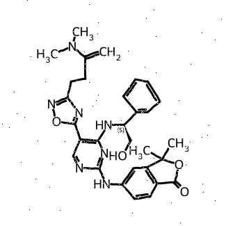 C=C(CCc1noc(-c2cnc(Nc3ccc4c(c3)C(C)(C)OC4=O)nc2N[C@H](CO)c2ccccc2)n1)N(C)C